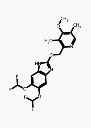 COc1c(C)cnc(CSc2nc3cc(OC(F)F)c(OC(F)F)cc3[nH]2)c1C